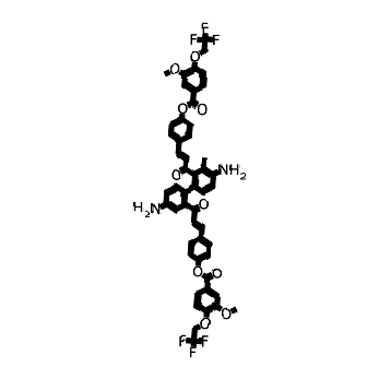 COc1cc(C(=O)Oc2ccc(C=CC(=O)c3cc(N)ccc3-c3ccc(N)c(C)c3C(=O)C=Cc3ccc(OC(=O)c4ccc(OCC(F)(F)F)c(OC)c4)cc3)cc2)ccc1OCC(F)(F)F